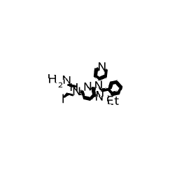 CCc1ccccc1-c1nc(/C=C\CN(CCN)CCI)c(N)n1-c1ccncc1